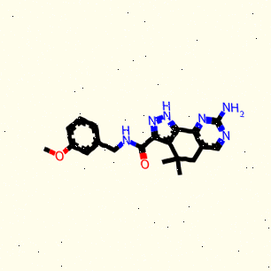 COc1cccc(CNC(=O)c2n[nH]c3c2C(C)(C)Cc2cnc(N)nc2-3)c1